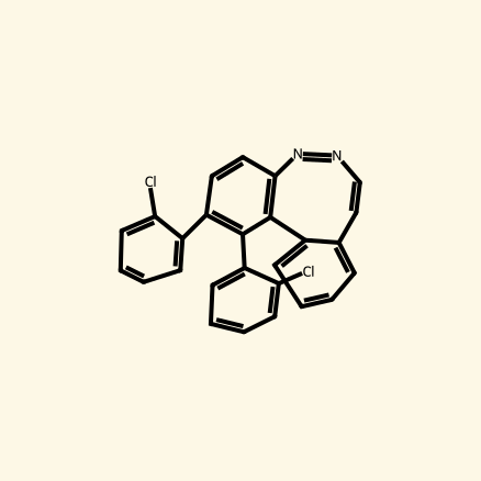 Clc1ccccc1-c1ccc2c(c1-c1ccccc1Cl)-c1ccccc1C=CN=N2